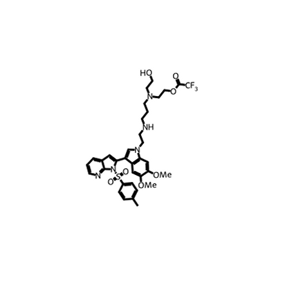 COc1cc2c(-c3cc4cccnc4n3S(=O)(=O)c3ccc(C)cc3)cn(CCNCCCN(CCO)CCOC(=O)C(F)(F)F)c2cc1OC